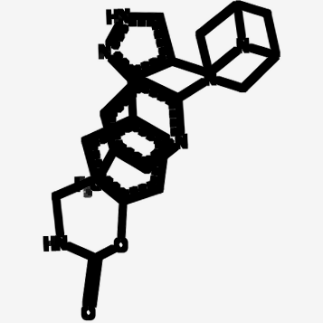 O=C1NCc2cc(-c3n[nH]cc3CN3C4CC3CN(c3ccc(C(F)(F)F)cn3)C4)ccc2O1